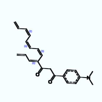 C=C\C=C/C=C\C=C/C(=C\C=C)C(=O)CC(=O)c1ccc(N(C)C)cc1